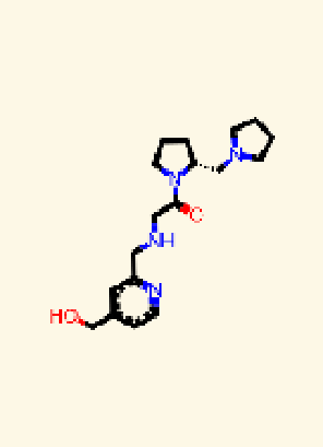 O=C(CNCc1cc(CO)ccn1)N1CCC[C@@H]1CN1CCCC1